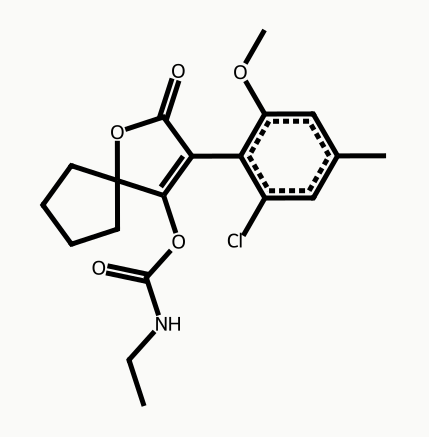 CCNC(=O)OC1=C(c2c(Cl)cc(C)cc2OC)C(=O)OC12CCCC2